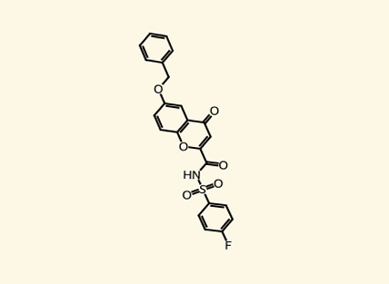 O=C(NS(=O)(=O)c1ccc(F)cc1)c1cc(=O)c2cc(OCc3ccccc3)ccc2o1